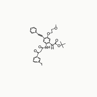 COCCOc1cc(NC(=O)OC(C)(C)C)c(NC(=O)CC(=O)c2cccc(I)c2)cc1C#Cc1ccccc1